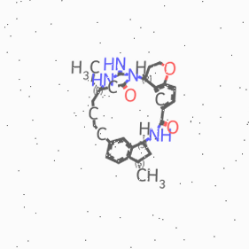 CC[C@]12CCCCc3ccc4c(c3)[C@H](C[C@@H]4C)NC(=O)c3ccc4c(c3)[C@@H](CCO4)N(C(=N)N1)C(=O)C2